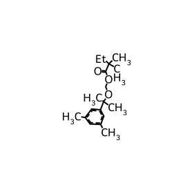 CCC(C)(C)C(=O)OCOC(C)(C)c1cc(C)cc(C)c1